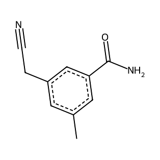 Cc1cc(CC#N)cc(C(N)=O)c1